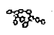 c1ccc(-c2ccc(-c3cc(-c4cccc(-c5ccc6cc(-c7ccccc7)n7nc(-c8ccccc8)c(-c8ccccc8)c7c6c5)c4)cc(-c4ccccc4)n3)cc2)cc1